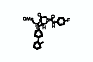 COC[C@@H]1[C@H](c2ccc(-c3ccccc3C)cc2)[C@H]2CN(C(=O)Nc3ccc(F)cc3)CC(=O)N12